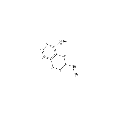 CCCNC1CCc2cccc(NC(C)=O)c2C1